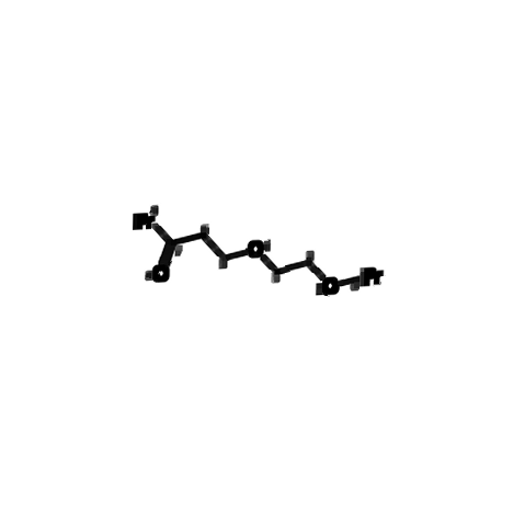 CC(C)OCCOCCC(=O)C(C)C